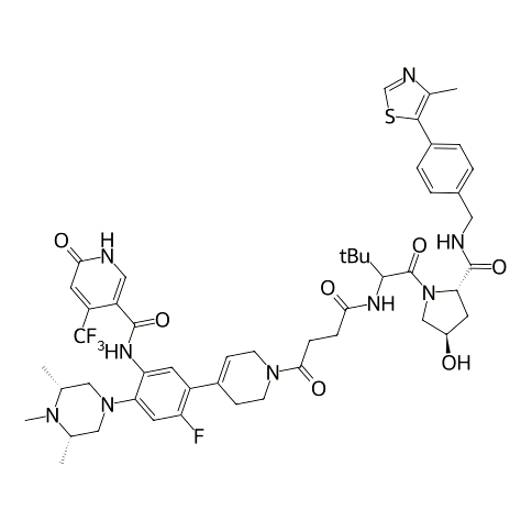 Cc1ncsc1-c1ccc(CNC(=O)[C@@H]2C[C@@H](O)CN2C(=O)C(NC(=O)CCC(=O)N2CC=C(c3cc(NC(=O)c4c[nH]c(=O)cc4C(F)(F)F)c(N4C[C@@H](C)N(C)[C@@H](C)C4)cc3F)CC2)C(C)(C)C)cc1